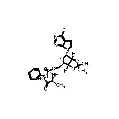 C[C@H](N[P@](=O)(OC[C@H]1O[C@@H](n2ccc3c(Cl)ncnc32)[C@@H]2OC(C)(C)O[C@@H]21)Oc1ccccc1)C(=O)O